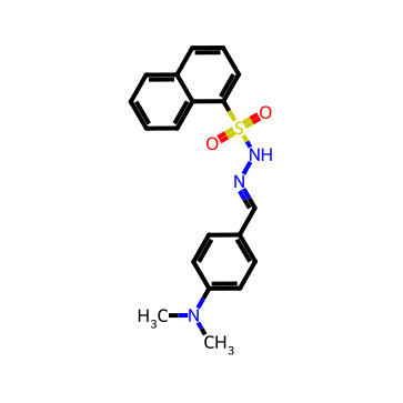 CN(C)c1ccc(C=NNS(=O)(=O)c2cccc3ccccc23)cc1